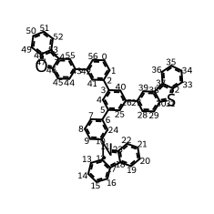 c1cc(-c2cc(-c3cccc(-n4c5ccccc5c5ccccc54)c3)cc(-c3ccc4sc5ccccc5c4c3)c2)cc(-c2ccc3oc4ccccc4c3c2)c1